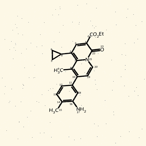 CCOC(=O)c1cc(C2CC2)c2c(C)c(-c3ccc(C)c(N)c3)ccn2c1=O